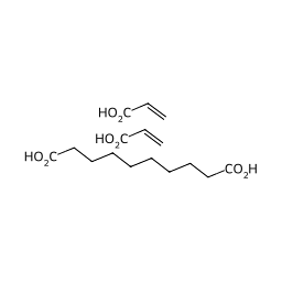 C=CC(=O)O.C=CC(=O)O.O=C(O)CCCCCCCCC(=O)O